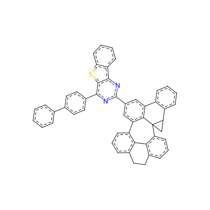 c1ccc(-c2ccc(-c3nc(-c4cc5c6c(c4)-c4cccc7c4-c4c(cccc4C64CC4c4ccccc4-5)CC7)nc4c3sc3ccccc34)cc2)cc1